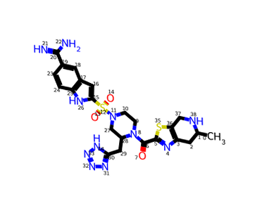 CC1Cc2nc(C(=O)N3CCN(S(=O)(=O)c4cc5cc(C(=N)N)ccc5[nH]4)CC3Cc3nnn[nH]3)sc2CN1